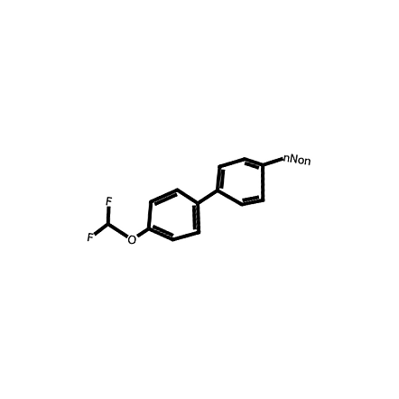 CCCCCCCCCc1ccc(-c2ccc(OC(F)F)cc2)cc1